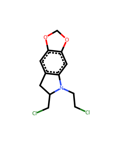 ClCCN1c2cc3c(cc2CC1CCl)OCO3